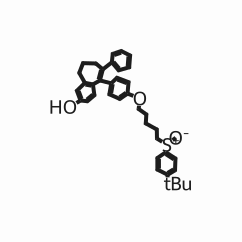 CC(C)(C)c1ccc([S+]([O-])CCCCCOc2ccc(C3=C(c4ccccc4)CCCc4cc(O)ccc43)cc2)cc1